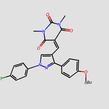 CCCCOc1ccc(-c2nn(-c3ccc(Cl)cc3)cc2C=C2C(=O)N(C)C(=O)N(C)C2=O)cc1